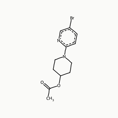 CC(=O)OC1CCN(c2ccc(Br)cn2)CC1